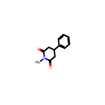 CCCCN1C(=O)CC(c2ccccc2)CC1=O